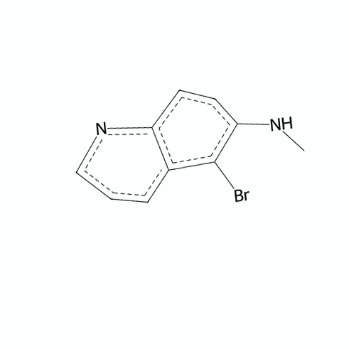 CNc1ccc2ncccc2c1Br